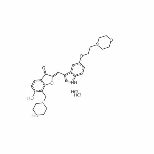 Cl.Cl.O=C1C(=Cc2c[nH]c3ccc(OCCN4CCOCC4)cc23)Oc2c1ccc(O)c2CN1CCNCC1